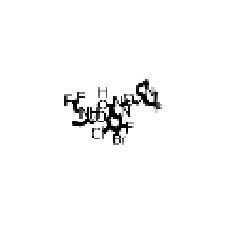 C=CC(COc1c(Cl)c(Br)c(F)c2nc(OC[C@@]34CCCN3C[C@H](F)C4)nc(O)c12)NCC(F)F